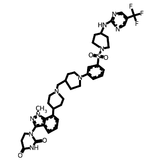 Cn1nc(N2CCC(=O)NC2=O)c2cccc(C3CCN(CC4CCN(c5cccc(S(=O)(=O)N6CCC(Nc7ncc(C(F)(F)F)cn7)CC6)c5)CC4)CC3)c21